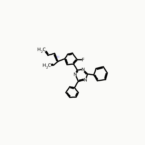 C=C/C=C(\C=C)c1ccc(F)c(-c2nc(-c3ccccc3)nc(-c3ccccc3)n2)c1